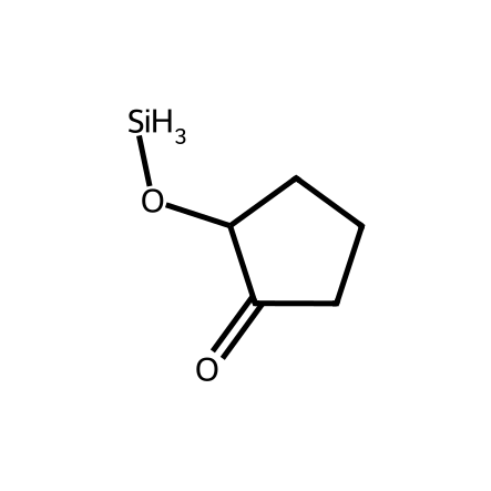 O=C1CCCC1O[SiH3]